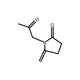 C=C1CCC(=O)N1CC(C)=O